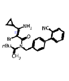 C=C(CCCC)N(Cc1ccc(-c2ccccc2C#N)cc1)C(=O)/C(Br)=C(\N)C1CC1